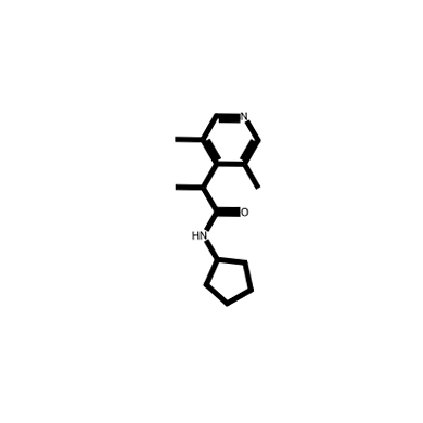 Cc1cncc(C)c1C(C)C(=O)NC1CCCC1